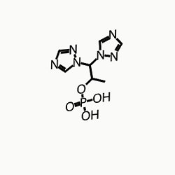 CC(OP(=O)(O)O)C(n1cncn1)n1cncn1